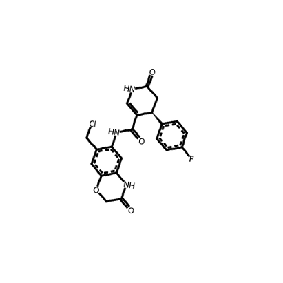 O=C1C[C@@H](c2ccc(F)cc2)C(C(=O)Nc2cc3c(cc2CCl)OCC(=O)N3)=CN1